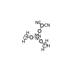 N#Cc1cc(C#N)cc(-c2ccc(-c3nc(-c4ccc(C56CC7C[C@H](C5)C[C@@H](C7)C6)cc4)nc(-c4ccc(C56C[C@H]7C[C@@H](C5)C[C@@H](C6)C7)cc4)n3)cc2)c1